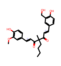 CCCCC(C)(C(=O)/C=C/c1ccc(O)c(CO)c1)C(=O)/C=C/c1ccc(O)c(OC)c1